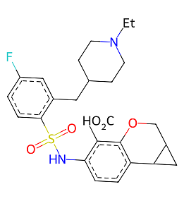 CCN1CCC(Cc2cc(F)ccc2S(=O)(=O)Nc2ccc3c(c2C(=O)O)OCC2CC32)CC1